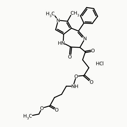 CCOC(=O)CCCNOC(=O)CCC(=O)C1N=C(c2ccccc2)c2c(cn(C)c2C)NC1=O.Cl